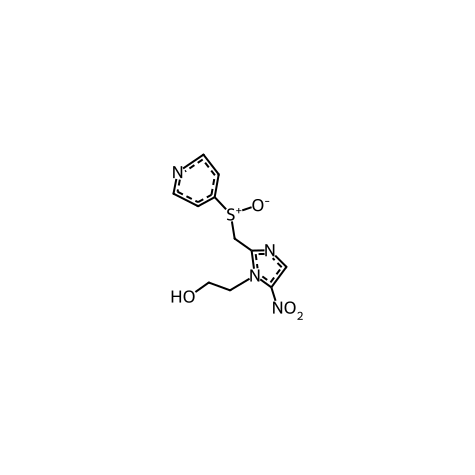 O=[N+]([O-])c1cnc(C[S+]([O-])c2ccncc2)n1CCO